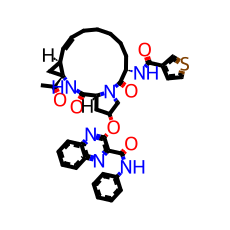 CC(=O)[C@@]12C[C@H]1/C=C\CCCCC[C@H](NC(=O)c1ccsc1)C(=O)N1CC(Oc3nc4ccccc4nc3C(=O)Nc3ccccc3)C[C@H]1C(=O)N2